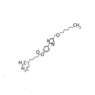 CCCCCCCOCc1cnc(-c2ccc(OC(=O)CCCCC(C)CC)cc2)nc1